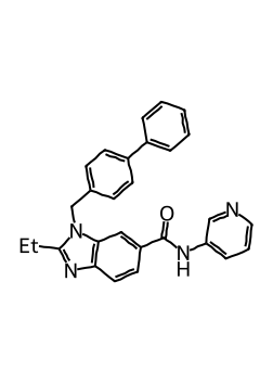 CCc1nc2ccc(C(=O)Nc3cccnc3)cc2n1Cc1ccc(-c2ccccc2)cc1